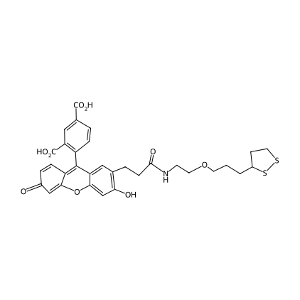 O=C(CCc1cc2c(-c3ccc(C(=O)O)cc3C(=O)O)c3ccc(=O)cc-3oc2cc1O)NCCOCCCC1CCSS1